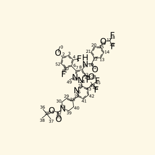 COc1cc(F)c(-c2c(NC(=O)c3ccc(OC(F)F)cc3)c(=O)n(-c3nc(C4=CCN(C(=O)OC(C)(C)C)CC4)ccc3C(F)(F)F)n2C)c(F)c1